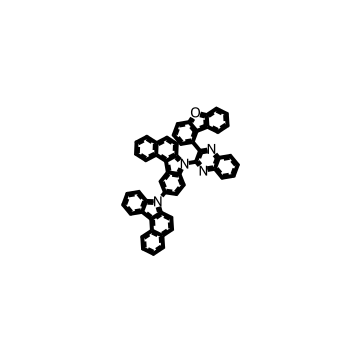 c1ccc2c(c1)ccc1c2c2ccccc2n1-c1ccc2c(c1)c1c3ccccc3ccc1n2-c1nc2ccccc2nc1-c1cccc2oc3ccccc3c12